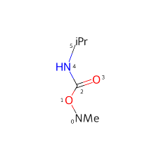 CNOC(=O)NC(C)C